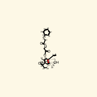 C=C[C@]1(C)C[C@@H](OC(=O)COC(=O)CSc2ccccc2)[C@]2(C)CC[C@@H](C)[C@@]3(CCC(=O)[C@@H]23)[C@@H](C)[C@@H]1O